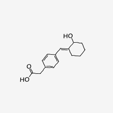 O=C(O)Cc1ccc(C=C2CCCCC2O)cc1